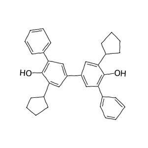 Oc1c(-c2ccccc2)cc(-c2cc(-c3ccccc3)c(O)c(C3CCCC3)c2)cc1C1CCCC1